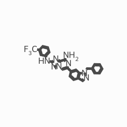 Nc1nc(-c2ccc3cnn(Cc4ccccc4)c3c2)cn2nc(Nc3cccc(C(F)(F)F)c3)nc12